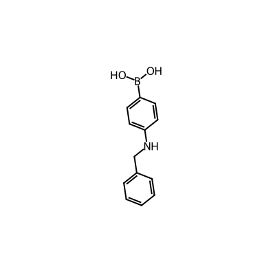 OB(O)c1ccc(NCc2ccccc2)cc1